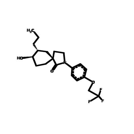 CCC[C@@H]1C[C@@]2(CC[C@H]1O)CCN(c1ccc(OCC(F)(F)F)cc1)C2=O